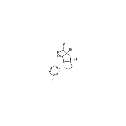 CCC1(C(F)F)C[C@H]2CC[C@H](c3cccc(F)c3)N2C1=O